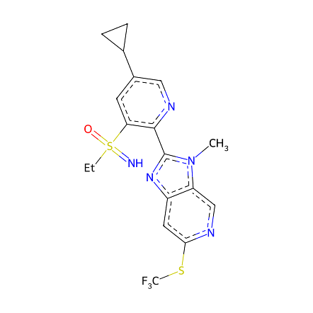 CCS(=N)(=O)c1cc(C2CC2)cnc1-c1nc2cc(SC(F)(F)F)ncc2n1C